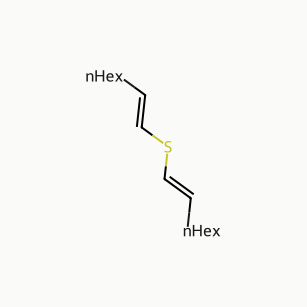 CCCCCCC=CSC=CCCCCCC